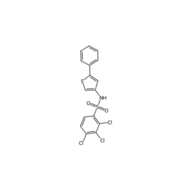 O=S(=O)(Nc1csc(-c2ccccc2)c1)c1ccc(Cl)c(Cl)c1Cl